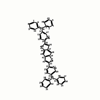 c1ccc(N(c2ccccc2)c2ccc(-c3cc4cc5sc(-c6ccc(N(c7ccccc7)c7ccccc7)cn6)cc5cc4s3)nc2)cc1